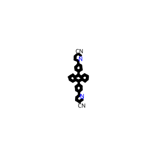 N#Cc1ccc(-c2ccc(-c3c4ccccc4c(-c4ccc(C5=NCC(C#N)C=C5)cc4)c4ccccc34)cc2)nc1